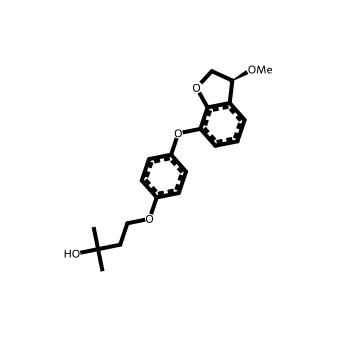 CO[C@@H]1COc2c(Oc3ccc(OCCC(C)(C)O)cc3)cccc21